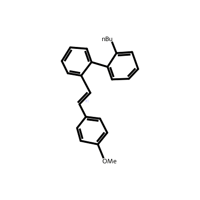 CCCCc1ccccc1-c1ccccc1/C=C/c1ccc(OC)cc1